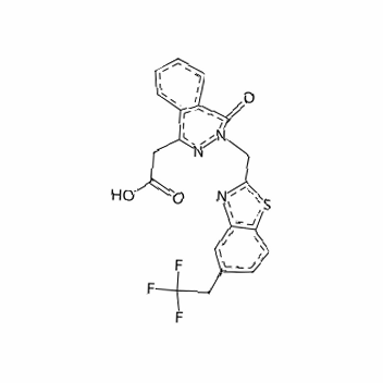 O=C(O)Cc1nn(Cc2nc3cc(CC(F)(F)F)ccc3s2)c(=O)c2ccccc12